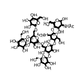 CC(=O)NC1C(O)OC(CO)[C@@H](O[C@@H]2OC(CO)[C@@H](O[C@@H]3OC(CO[C@H]4OC(CO[C@H]5OC(CO)[C@@H](O)[C@H](O)C5O)[C@@H](O)[C@H](O[C@H]5O[C@@H](CO)[C@@H](O)C(O)C5O)C4O)[C@@H](O)[C@H](O[C@H]4O[C@@H](CO)[C@@H](O)C(O)C4O)C3O)[C@H](O)C2NC(C)=O)[C@@H]1O